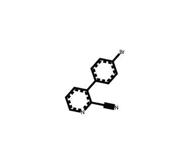 N#Cc1ncccc1-c1ccc(Br)cc1